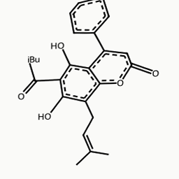 CCC(C)C(=O)c1c(O)c(CC=C(C)C)c2oc(=O)cc(-c3ccccc3)c2c1O